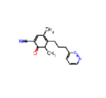 CC1=C(CCCc2cccnn2)C(C)C(=O)C(C#N)=C1